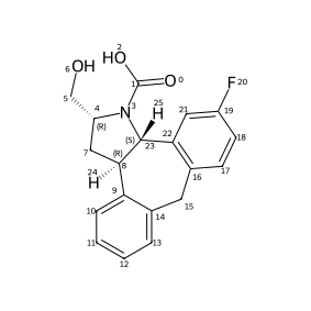 O=C(O)N1[C@@H](CO)C[C@@H]2c3ccccc3Cc3ccc(F)cc3[C@H]21